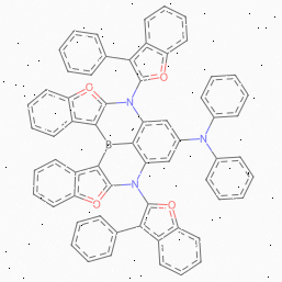 c1ccc(-c2c(N3c4cc(N(c5ccccc5)c5ccccc5)cc5c4B(c4c3oc3ccccc43)c3c(oc4ccccc34)N5c3oc4ccccc4c3-c3ccccc3)oc3ccccc23)cc1